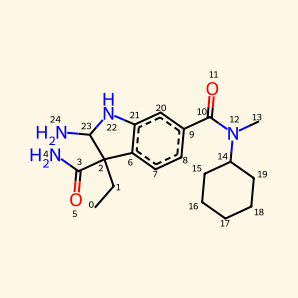 CCC1(C(N)=O)c2ccc(C(=O)N(C)C3CCCCC3)cc2NC1N